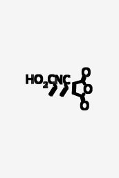 C=CC#N.C=CC(=O)O.O=C1C=CC(=O)O1